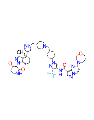 Cc1nn(C2C(=O)CCNC2=O)c2cccc(-c3cnn(CC4CCN(CC5CCC(n6cc(NC(=O)c7cnn8ccc(N9CCCOCC9)nc78)c(C(F)F)n6)CC5)CC4)c3)c12